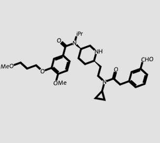 COCCCOc1cc(C(=O)N(C(C)C)[C@@H]2CC[C@H](CCN(C(=O)Cc3cccc(C=O)c3)C3CC3)NC2)ccc1OC